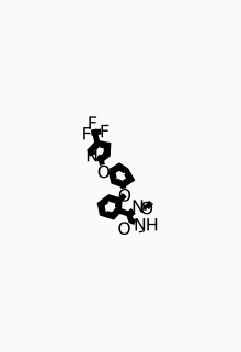 CNC(=O)C(=NOC)c1ccccc1Oc1cccc(Oc2ccc(C(F)(F)F)cn2)c1